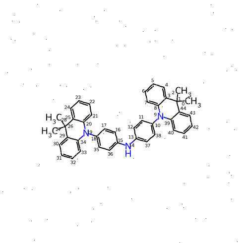 CC1(C)c2ccccc2N(c2ccc(Nc3ccc(N4c5ccccc5C(C)(C)c5ccccc54)cc3)cc2)c2ccccc21